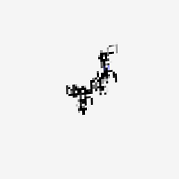 CC(C)(C)OC(=O)n1c(CN2CCC(NS(=O)(=O)/C=C/c3ccc(Cl)s3)C2=O)cc2cnccc21